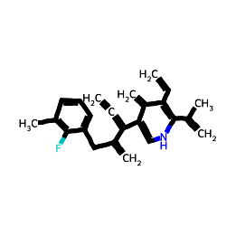 C=C=C(C(=C)Cc1cccc(C)c1F)C1=CNC(C(=C)C)=C(C=C)C1=C